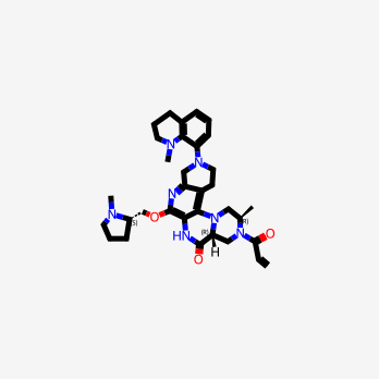 C=CC(=O)N1C[C@@H]2C(=O)Nc3c(OC[C@@H]4CCCN4C)nc4c(c3N2C[C@H]1C)CCN(c1cccc2c1N(C)CCC2)C4